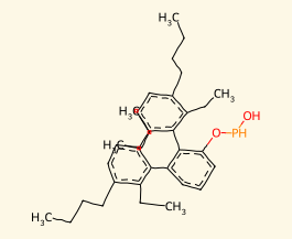 CCCCc1ccc(CC)c(-c2cccc(OPO)c2-c2c(CC)ccc(CCCC)c2CC)c1CC